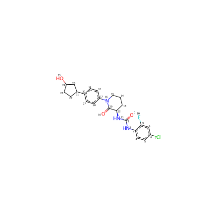 O=C(Nc1ccc(Cl)cc1F)N[C@@H]1CCCN(c2ccc(C3CCC(O)C3)cc2)C1=O